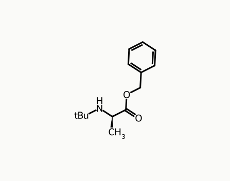 C[C@@H](NC(C)(C)C)C(=O)OCc1ccccc1